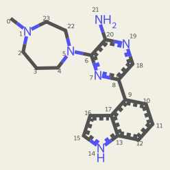 CN1CCCN(c2nc(-c3cccc4[nH]ccc34)cnc2N)CC1